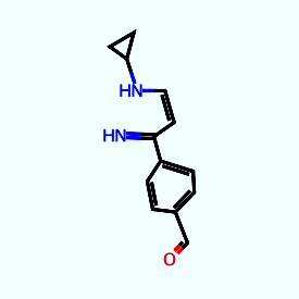 N=C(/C=C\NC1CC1)c1ccc(C=O)cc1